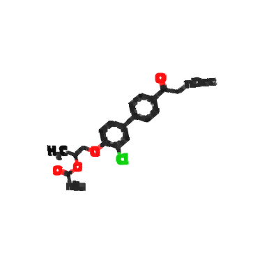 CCCCCCCCCCCC(=O)c1ccc(-c2ccc(OCC(C)OC(=O)CCCC)c(Cl)c2)cc1